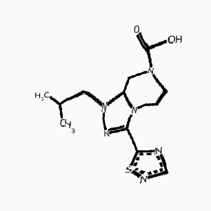 CC(C)CN1N=C(c2ncns2)N2CCN(C(=O)O)CC12